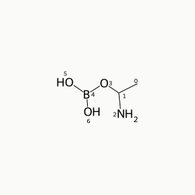 CC(N)OB(O)O